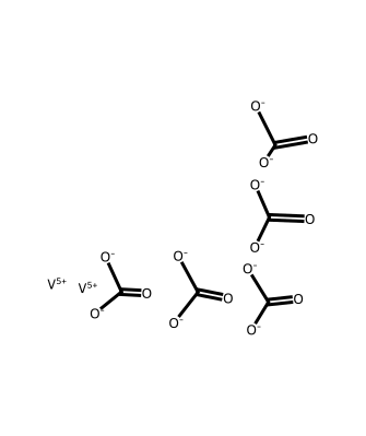 O=C([O-])[O-].O=C([O-])[O-].O=C([O-])[O-].O=C([O-])[O-].O=C([O-])[O-].[V+5].[V+5]